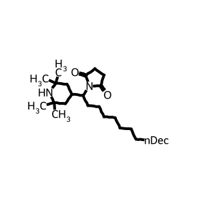 CCCCCCCCCCCCCCCCCC(C1CC(C)(C)NC(C)(C)C1)N1C(=O)CCC1=O